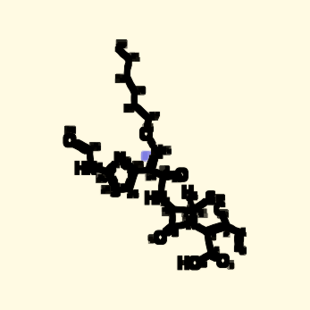 C=CC1=C(C(=O)O)N2C(=O)C(NC(=O)/C(=N/OCCCCCC)c3csc(NC=O)n3)[C@H]2SC1